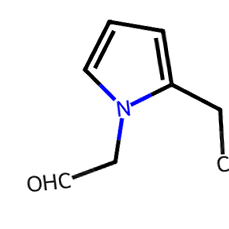 N#CCc1cccn1CC=O